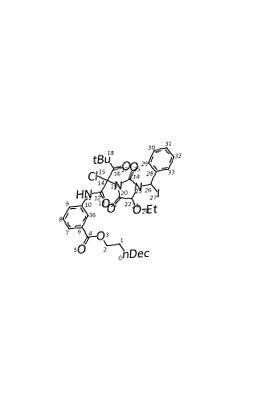 CCCCCCCCCCCCOC(=O)c1cccc(NC(=O)C(Cl)(C(=O)C(C)(C)C)N2C(=O)C(OCC)N(C(I)c3ccccc3)C2=O)c1